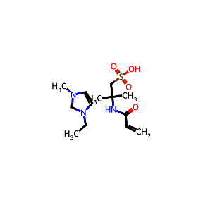 C=CC(=O)NC(C)(C)CS(=O)(=O)O.CCN1C=CN(C)C1